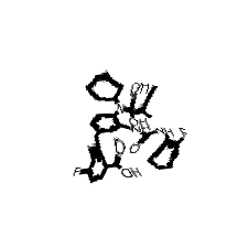 CC(C)C(O)(O)N(c1ccc(-c2cc(F)ccc2C(=O)O)cc1NC(=O)Nc1ccccc1F)C1CCCCC1